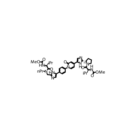 CCCN(Cc1ncc(-c2ccc(-n3ccc(-c4cnc([C@@H]5CCCN5C(=O)[C@@H](NC(=O)OC)C(C)C)[nH]4)cc3=O)cc2)[nH]1)C(=O)[C@@H](NC(=O)OC)C(C)C